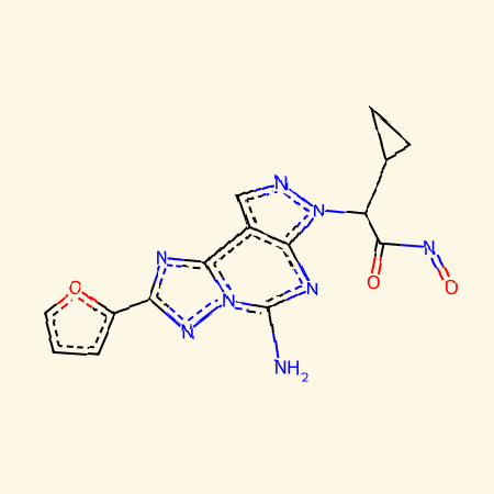 Nc1nc2c(cnn2C(C(=O)N=O)C2CC2)c2nc(-c3ccco3)nn12